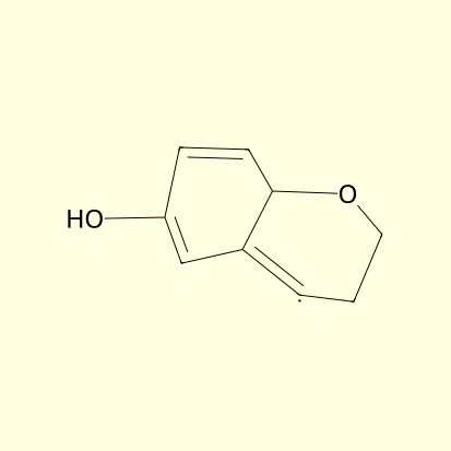 OC1=CC2=[C]CCOC2C=C1